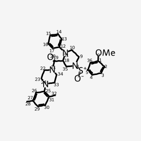 COc1cccc([S+]([O-])N2CCN(c3ccccc3)C(C(=O)N3CCN(c4cc(C)ccc4C)CC3)C2)c1